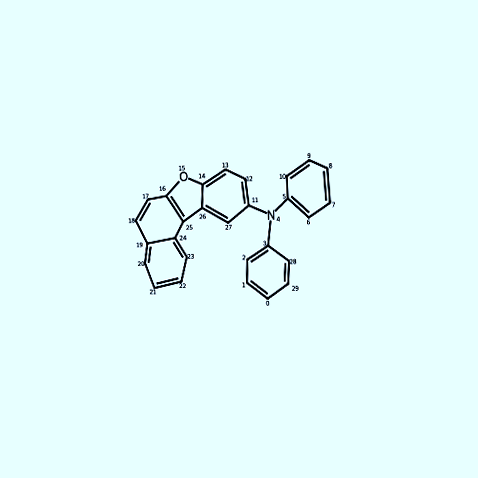 c1ccc(N(c2ccccc2)c2ccc3oc4ccc5ccccc5c4c3c2)cc1